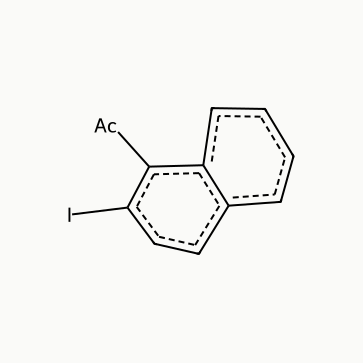 CC(=O)c1c(I)ccc2ccccc12